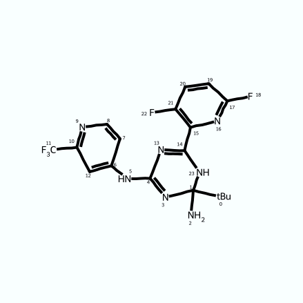 CC(C)(C)C1(N)N=C(Nc2ccnc(C(F)(F)F)c2)N=C(c2nc(F)ccc2F)N1